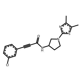 Cc1nc(N2CCC(NC(=O)C#Cc3cccc(Cl)c3)C2)sc1C